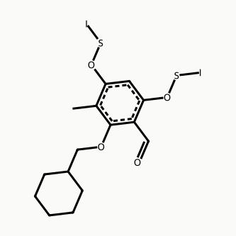 Cc1c(OSI)cc(OSI)c(C=O)c1OCC1CCCCC1